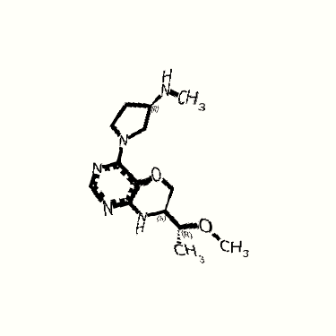 CN[C@@H]1CCN(c2ncnc3c2OC[C@@H]([C@@H](C)OC)N3)C1